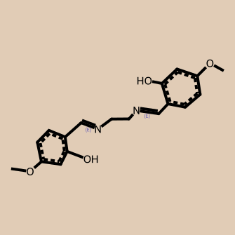 COc1ccc(/C=N/CC/N=C/c2ccc(OC)cc2O)c(O)c1